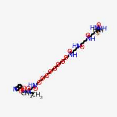 CCCN(CCN(C)S(=O)(=O)c1cccc2cnccc12)C(=O)CCC(=O)NCCOCCOCCOCCOCCOCCOCCOCCOCCNC(=O)CCCCCNC(=O)CCCCCNC(=O)CCCC[C@@H]1SC[C@@H]2NC(=O)N[C@@H]21